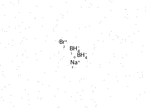 [BH4-].[BH4-].[Br+].[Na+]